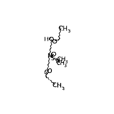 CCCCCC/C=C\COC(=O)CCCCCCCN(CCCCCCCC(O)OC/C=C\CCCCCC)C(=O)SCCN(C)C